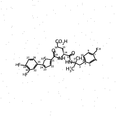 CC(C)(Cc1ccc(F)cc1)NC(=O)[C@H](CCC(=O)O)NC(=O)c1ccc(-c2ccc(F)c(F)c2)s1